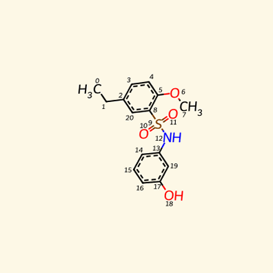 CCc1ccc(OC)c(S(=O)(=O)Nc2cccc(O)c2)c1